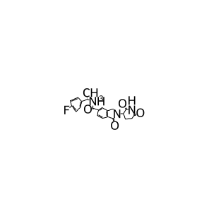 C[C@H](NC(=O)c1ccc2c(c1)CN(C1CCC(=O)NC1=O)C2=O)c1ccc(F)cc1